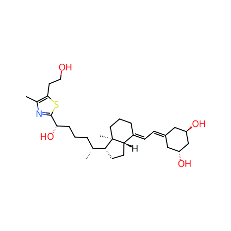 Cc1nc([C@@H](O)CCC[C@@H](C)[C@H]2CC[C@H]3/C(=C/C=C4C[C@@H](O)C[C@H](O)C4)CCC[C@]23C)sc1CCO